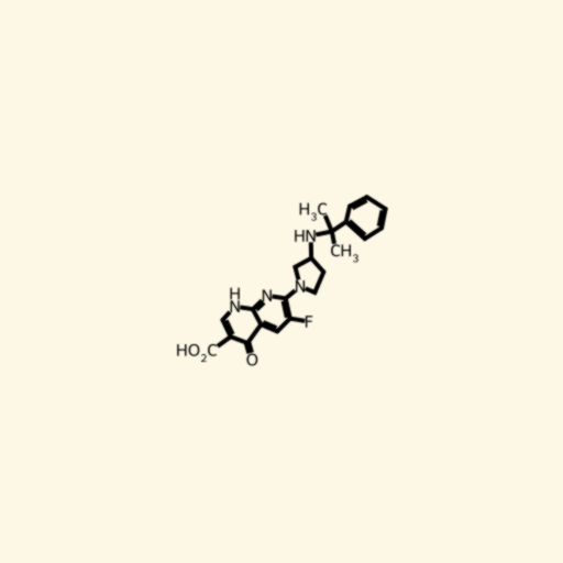 CC(C)(NC1CCN(c2nc3[nH]cc(C(=O)O)c(=O)c3cc2F)C1)c1ccccc1